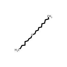 CCCCCCCCCCOCCCCCCCC